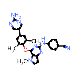 Cc1cc(-c2cnc(N)nc2)cc(C)c1Oc1nc(Nc2ccc(C#N)cc2)nc2ccn(C)c12